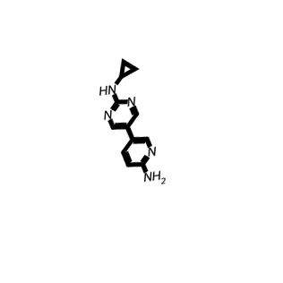 Nc1ccc(-c2cnc(NC3CC3)nc2)cn1